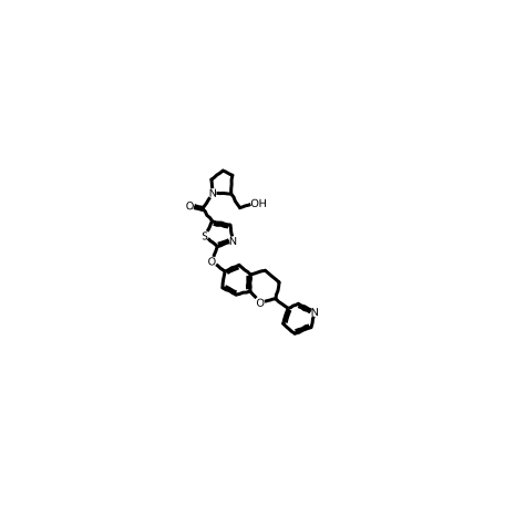 O=C(c1cnc(Oc2ccc3c(c2)CCC(c2cccnc2)O3)s1)N1CCCC1CO